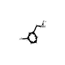 FNCc1cccc(F)c1